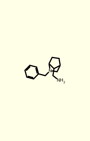 NCC1C2CCC1N(Cc1ccccc1)C2